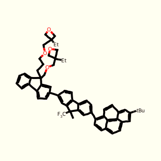 CCC1(COCCCC2(COCC3(CC)COC3)c3ccccc3-c3ccc(-c4ccc5c(c4)C(C)(C(F)(F)F)c4cc(-c6ccc7ccc8cc(C(C)(C)C)cc9ccc6c7c89)ccc4-5)cc32)COC1